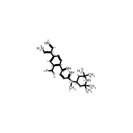 CN(C(=N)/C=C\C(=N)c1ccc(/C(C=N)=C/N)cc1C(F)F)C1CC(C)(C)NC(C)(C)C1